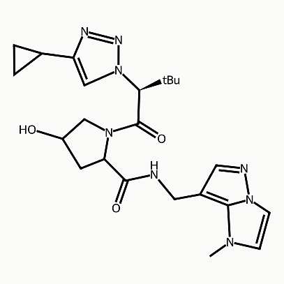 Cn1ccn2ncc(CNC(=O)C3CC(O)CN3C(=O)[C@@H](n3cc(C4CC4)nn3)C(C)(C)C)c12